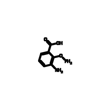 Nc1cccc(C(=O)O)c1OP